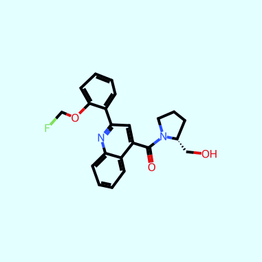 O=C(c1cc(-c2ccccc2OCF)nc2ccccc12)N1CCC[C@@H]1CO